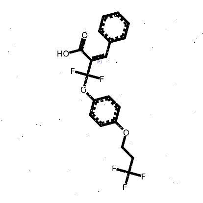 O=C(O)/C(=C\c1ccccc1)C(F)(F)Oc1ccc(OCCC(F)(F)F)cc1